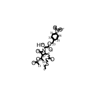 CCSSC(=O)SC1C(C(C)OC(C)=O)C(=O)N1C(O)C(=O)OCc1ccc([N+](=O)[O-])cc1